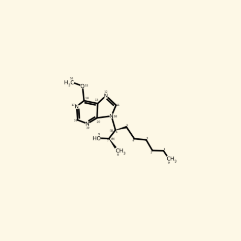 CCCCCC[C@@H]([C@@H](C)O)n1cnc2c(OC)ncnc21